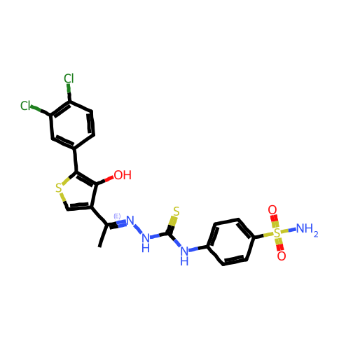 C/C(=N\NC(=S)Nc1ccc(S(N)(=O)=O)cc1)c1csc(-c2ccc(Cl)c(Cl)c2)c1O